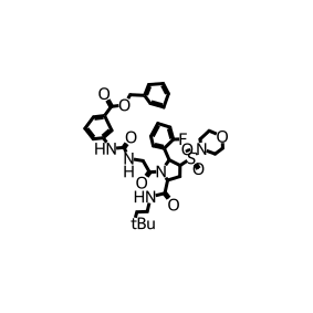 CC(C)(C)CCNC(=O)C1CC(S(=O)(=O)N2CCOCC2)C(c2ccccc2F)N1C(=O)CNC(=O)Nc1cccc(C(=O)OCc2ccccc2)c1